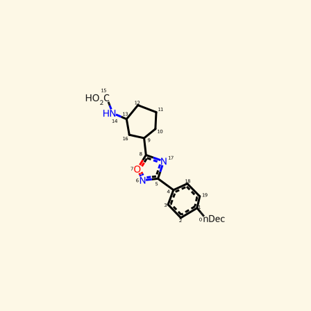 CCCCCCCCCCc1ccc(-c2noc(C3CCCC(NC(=O)O)C3)n2)cc1